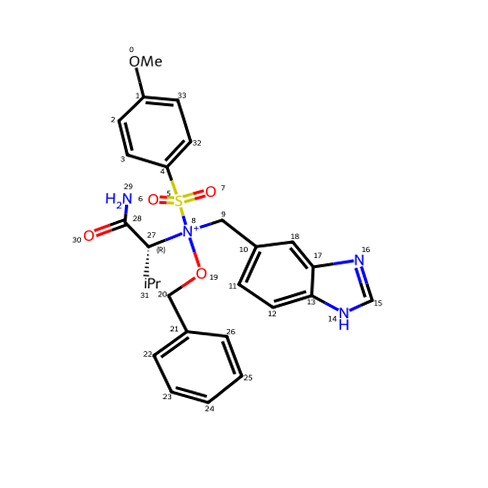 COc1ccc(S(=O)(=O)[N+](Cc2ccc3[nH]cnc3c2)(OCc2ccccc2)[C@@H](C(N)=O)C(C)C)cc1